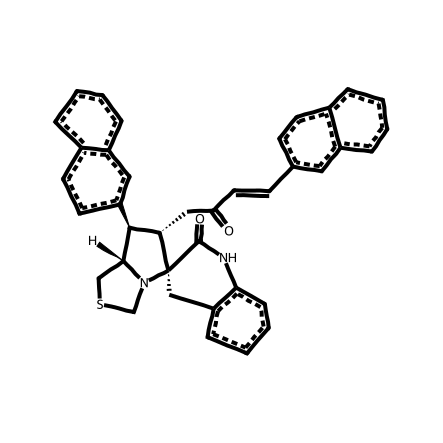 O=C(/C=C/c1ccc2ccccc2c1)C[C@H]1[C@H](c2ccc3ccccc3c2)[C@H]2CSCN2[C@@]12Cc1ccccc1NC2=O